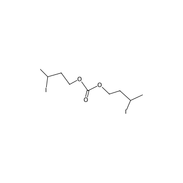 CC(I)CCOC(=O)OCCC(C)I